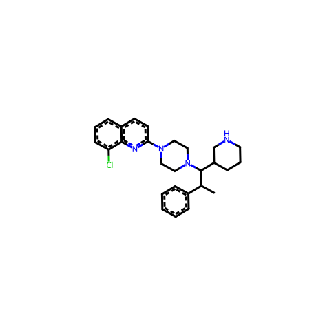 CC(c1ccccc1)C(C1CCCNC1)N1CCN(c2ccc3cccc(Cl)c3n2)CC1